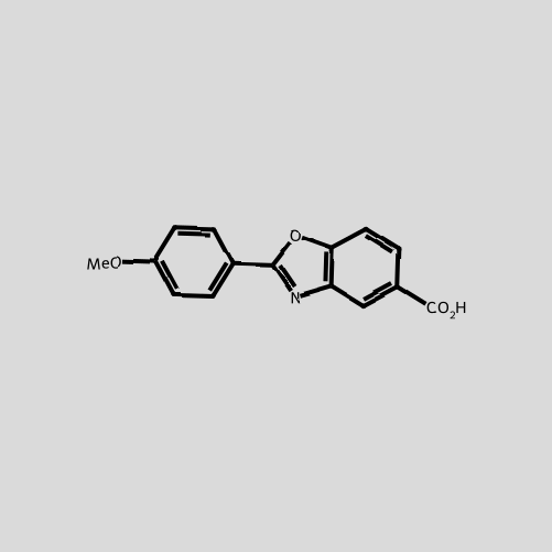 COc1ccc(-c2nc3cc(C(=O)O)ccc3o2)cc1